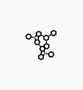 c1ccc(-c2cc(-c3ccccc3)cc(-c3cccc4c3c3cc(-c5ccc6c(c5)c5ccccc5n6-c5ccccc5)ccc3n4-c3ccccc3)c2)cc1